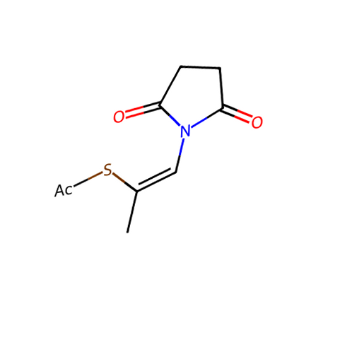 CC(=O)SC(C)=CN1C(=O)CCC1=O